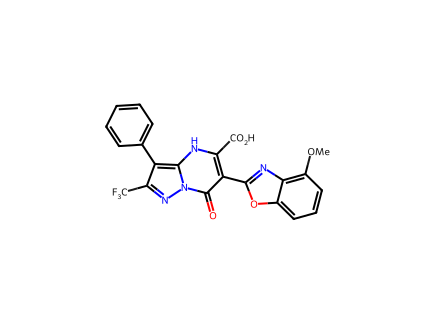 COc1cccc2oc(-c3c(C(=O)O)[nH]c4c(-c5ccccc5)c(C(F)(F)F)nn4c3=O)nc12